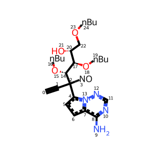 C#CC(N=O)(c1ccc2c(N)ncnn12)[C@H](OCCCC)[C@H](OCCCC)[C@H](O)COCCCC